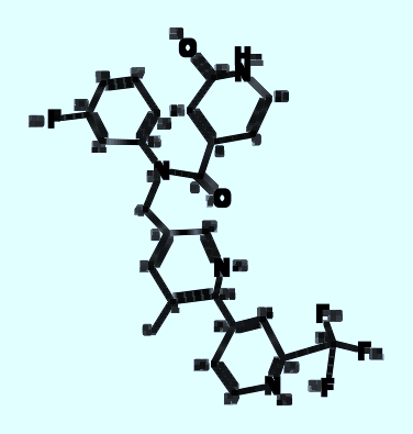 Cc1cc(CN(C(=O)c2cc[nH]c(=O)c2)c2cccc(F)c2)cnc1-c1ccnc(C(F)(F)F)c1